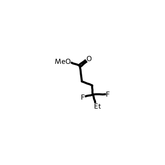 CCC(F)(F)CCC(=O)OC